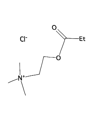 CCC(=O)OCC[N+](C)(C)C.[Cl-]